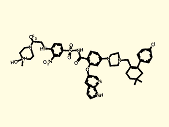 CC1(C)CCC(CN2CCN(c3ccc(C(=O)NS(=O)(=O)c4ccc(NCC(N5CC[PH](C)(O)CC5)C(F)(F)F)c([N+](=O)[O-])c4)c(Oc4cnc5[nH]ccc5c4)c3)CC2)=C(c2ccc(Cl)cc2)C1